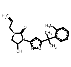 C=CCN1CC(O)N(c2cc(C(C)(C)c3ccccc3C)on2)C1=O